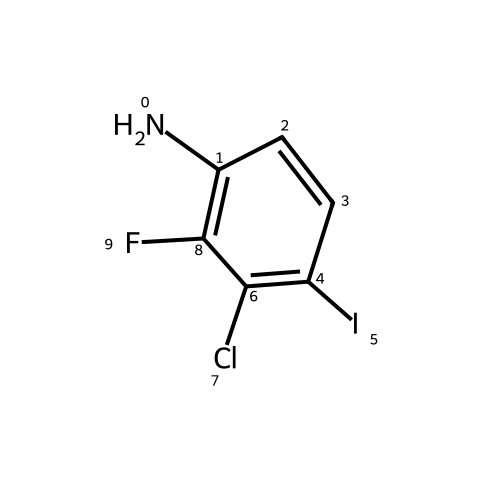 Nc1ccc(I)c(Cl)c1F